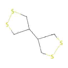 C1SSCC1C1CSSC1